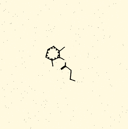 CCCCCCCCCCCC(=O)Nc1c(C)cccc1C(=O)O